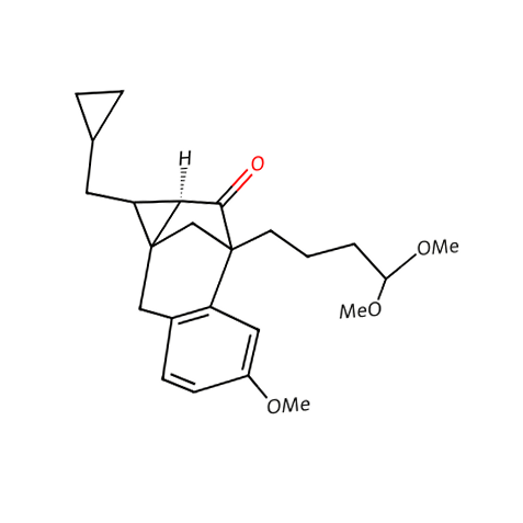 COc1ccc2c(c1)C1(CCCC(OC)OC)CC3(C2)C(CC2CC2)[C@H]3C1=O